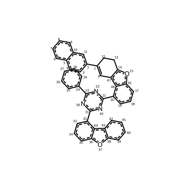 C1=C(c2ccc3ccccc3c2)CCc2oc3cccc(-c4nc(-c5ccccc5)nc(-c5cccc6oc7ccccc7c56)n4)c3c21